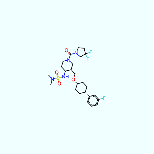 CN(C)S(=O)(=O)NC1CCN(C(=O)N2CCC(F)(F)C2)C[C@H]1CO[C@H]1CC[C@@H](c2cccc(F)c2)CC1